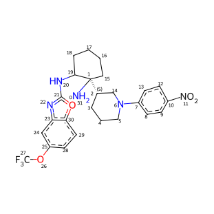 NC1([C@H]2CCCN(c3ccc([N+](=O)[O-])cc3)C2)CCCCC1Nc1nc2cc(OC(F)(F)F)ccc2o1